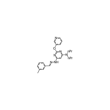 CCCN(CCC)c1cc(N/N=C/c2cccc(C)c2)nc(Oc2cccnc2)n1